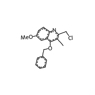 COc1ccc2nc(CCl)c(C)c(OCc3ccccc3)c2c1